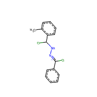 Cc1ccccc1C(Cl)N/N=C(\Cl)c1ccccc1